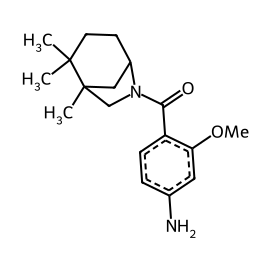 COc1cc(N)ccc1C(=O)N1CC2(C)CC1CCC2(C)C